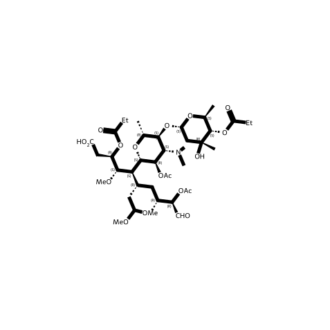 CCC(=O)O[C@H](CC(=O)O)[C@@H](OC)[C@H]([C@@H](CC(OC)OC)C[C@@H](C)[C@H](C=O)OC(C)=O)[C@@H]1O[C@H](C)[C@@H](O[C@H]2C[C@@](C)(O)[C@@H](OC(=O)CC)[C@H](C)O2)[C@H](N(C)C)[C@H]1OC(C)=O